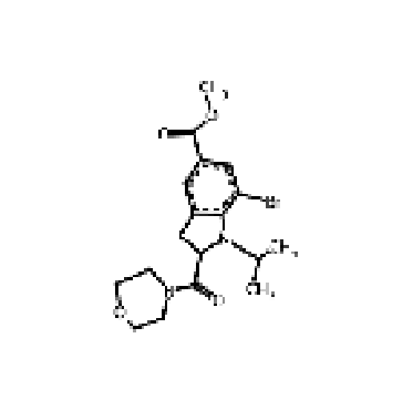 COC(=O)c1cc(Br)c2c(c1)CC(C(=O)N1CCOCC1)N2C(C)C